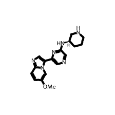 COc1ccc2ncc(-c3cncc(N[C@@H]4CCCNC4)n3)n2c1